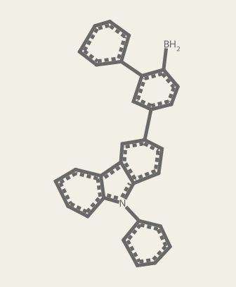 Bc1ccc(-c2ccc3c(c2)c2ccccc2n3-c2ccccc2)cc1-c1ccccc1